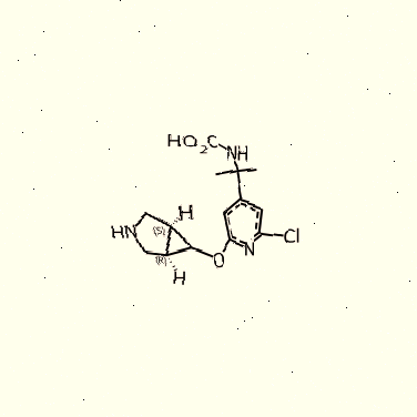 CC(C)(NC(=O)O)c1cc(Cl)nc(OC2[C@H]3CNC[C@@H]23)c1